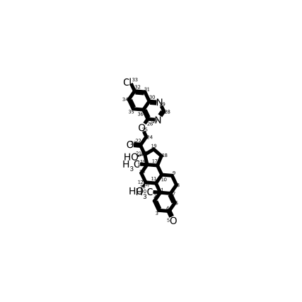 CC12C=CC(=O)C=C1CCC1C2[C@@H](O)CC2(C)C1CC[C@]2(O)C(=O)COc1ncnc2cc(Cl)ccc12